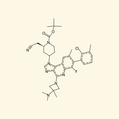 Cc1cccc(-c2c(C)cc3c(nc(N4CC(C)(N(C)C)C4)c4ncn(C5CCN(C(=O)OC(C)(C)C)[C@H](CC#N)C5)c43)c2F)c1Cl